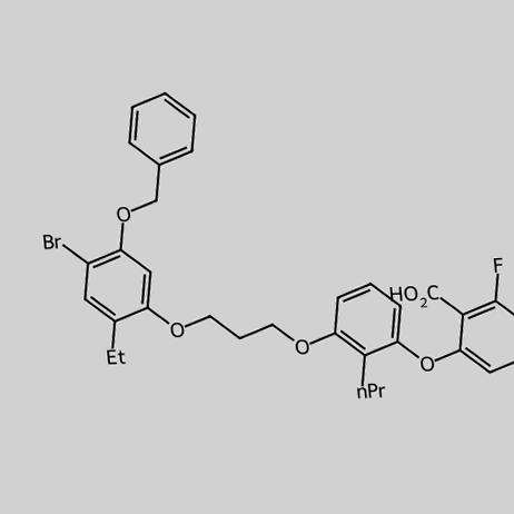 CCCc1c(OCCCOc2cc(OCc3ccccc3)c(Br)cc2CC)cccc1Oc1cccc(F)c1C(=O)O